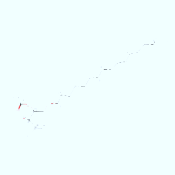 CCCCCCCCCCCCCCCCOCC(OC(C)=O)C(O)C(C)C